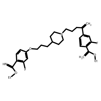 C=C(CCCN1CCC(CCCOc2ccc(C(=N)OCC)c(F)c2)CC1)c1ccc(C(=C)OCC)c(F)c1